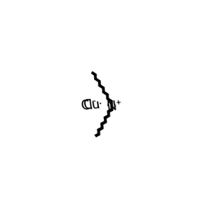 CCCCCCCCCC[N+](C)(C)CCCCCCCCCC.[Cl-].[Cu]